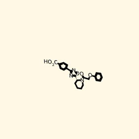 O=C(O)c1ccc(-c2noc([C@H]3CCCCN3C(=O)COc3ccccc3)n2)cc1